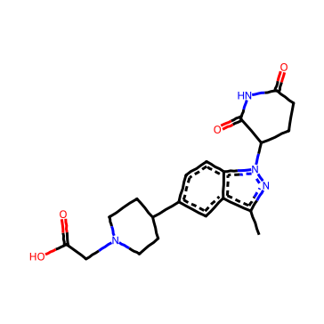 Cc1nn(C2CCC(=O)NC2=O)c2ccc(C3CCN(CC(=O)O)CC3)cc12